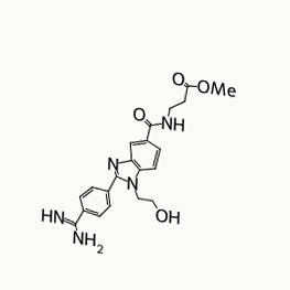 COC(=O)CCNC(=O)c1ccc2c(c1)nc(-c1ccc(C(=N)N)cc1)n2CCO